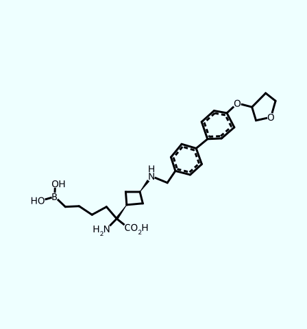 NC(CCCCB(O)O)(C(=O)O)[C@H]1C[C@@H](NCc2ccc(-c3ccc(OC4CCOC4)cc3)cc2)C1